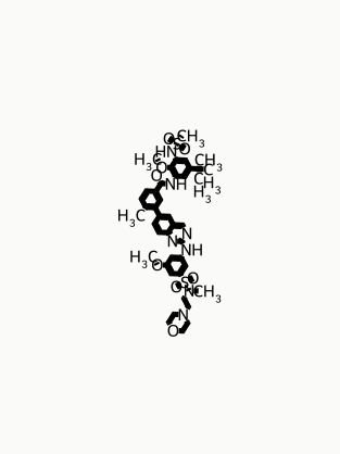 COc1cc(Nc2ncc3cc(-c4cc(C(=O)Nc5cc(C(C)(C)C)cc(NS(C)(=O)=O)c5OC)ccc4C)ccc3n2)cc(S(=O)(=O)N(C)CCN2CCOCC2)c1